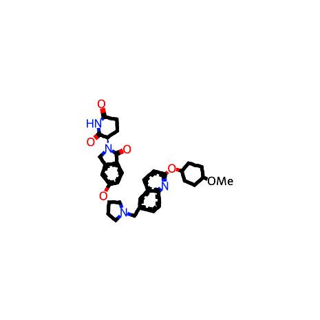 COC1CCC(Oc2ccc3cc(CN4CC[C@H](Oc5ccc6c(c5)CN([C@H]5CCC(=O)NC5=O)C6=O)C4)ccc3n2)CC1